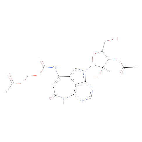 CC(C)C(=O)OCOC(=O)NC1=CC(=O)Nc2ncnc3c2c1cn3C1OC(CO)C(OC(=O)C(C)C)C1(C)O